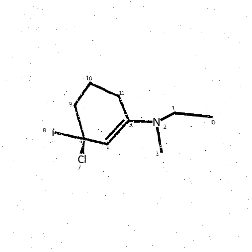 CCN(C)C1=C[C@](Cl)(I)CCC1